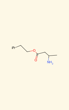 CC(C)CCOC(=O)CC(C)N